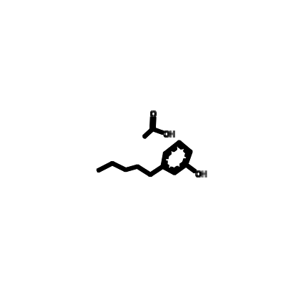 CC(=O)O.CCCCCc1cccc(O)c1